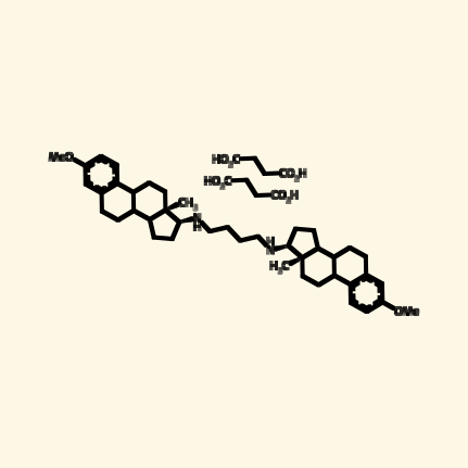 COc1ccc2c(c1)CCC1C2CC[C@@]2(C)C1CC[C@@H]2NCCCCN[C@H]1CCC2C3CCc4cc(OC)ccc4C3CC[C@@]21C.O=C(O)CCC(=O)O.O=C(O)CCC(=O)O